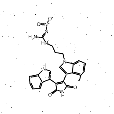 NC(=N[N+](=O)[O-])NCCCn1cc(C2=C(c3c[nH]c4ccccc34)C(=O)NC2=O)c2c(F)cccc21